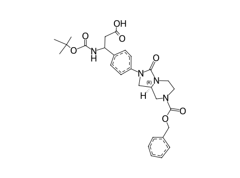 CC(C)(C)OC(=O)NC(CC(=O)O)c1ccc(N2C[C@@H]3CN(C(=O)OCc4ccccc4)CCN3C2=O)cc1